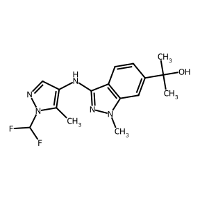 Cc1c(Nc2nn(C)c3cc(C(C)(C)O)ccc23)cnn1C(F)F